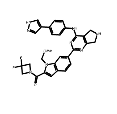 COCn1c(C(=O)N2CC(F)(F)C2)cc2ccc(-c3nc4c(c(Nc5ccc(-c6cn[nH]c6)cc5)n3)CNC4)cc21